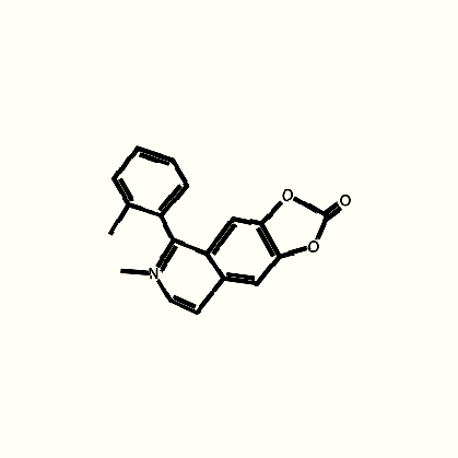 Cc1ccccc1-c1c2cc3oc(=O)oc3cc2cc[n+]1C